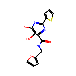 O=C(NCc1ccco1)c1nc(-c2cccs2)nc(O)c1O